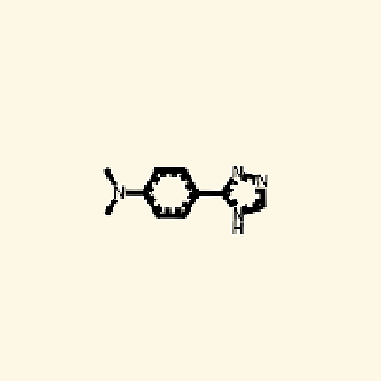 CN(C)c1ccc(-c2nnc[nH]2)cc1